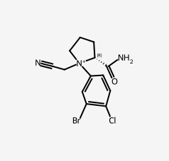 N#CC[N+]1(c2ccc(Cl)c(Br)c2)CCC[C@@H]1C(N)=O